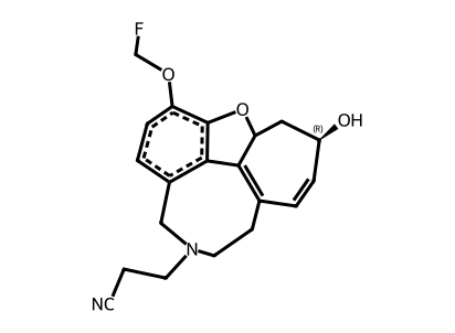 N#CCCN1CCC2=C3c4c(ccc(OCF)c4OC3C[C@@H](O)C=C2)C1